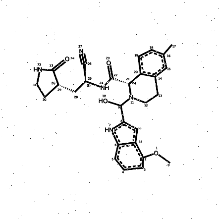 COc1cccc2[nH]c(C(O)N3CCc4cc(C)ccc4[C@H]3C(=O)N[C@H](C#N)C[C@@H]3CCNC3=O)cc12